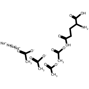 CC(=O)[O-].CC(=O)[O-].CC(=O)[O-].CC(=O)[O-].NC(CCC(=O)O)C(=O)O.[Na+].[Na+].[Na+].[Na+]